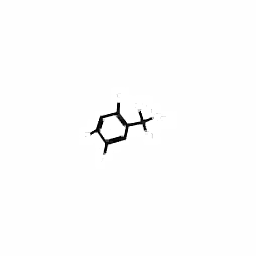 CCC(C)(C)c1cc(F)c(F)cc1F